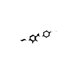 C/C=C/Oc1ccc(C(=O)OC2CCC(CCCCC)CC2)c(F)c1F